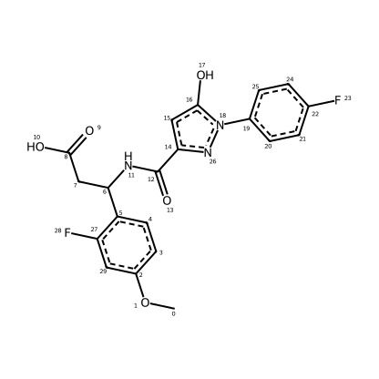 COc1ccc(C(CC(=O)O)NC(=O)c2cc(O)n(-c3ccc(F)cc3)n2)c(F)c1